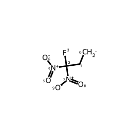 [CH2]CC(F)([N+](=O)[O-])[N+](=O)[O-]